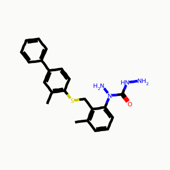 Cc1cc(-c2ccccc2)ccc1SCc1c(C)cccc1N(N)C(=O)NN